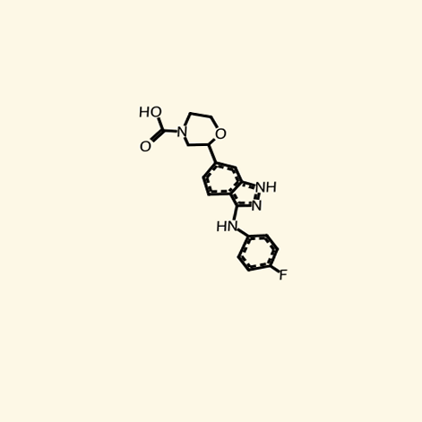 O=C(O)N1CCOC(c2ccc3c(Nc4ccc(F)cc4)n[nH]c3c2)C1